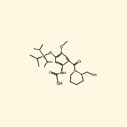 COc1cc(C(=O)N2CCCCC2CO)c(NC(=O)O)cc1O[Si](C(C)C)(C(C)C)C(C)C